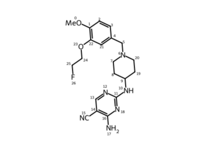 COc1ccc(CN2CCC(Nc3ncc(C#N)c(N)n3)CC2)cc1OCCF